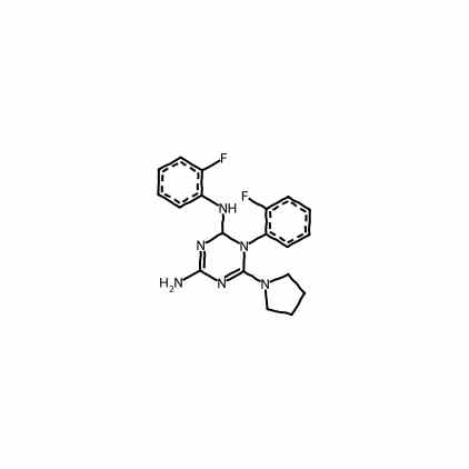 NC1=NC(Nc2ccccc2F)N(c2ccccc2F)C(N2CCCC2)=N1